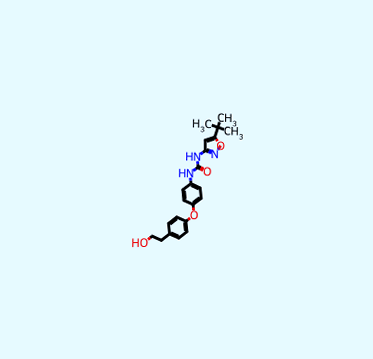 CC(C)(C)c1cc(NC(=O)Nc2ccc(Oc3ccc(CCO)cc3)cc2)no1